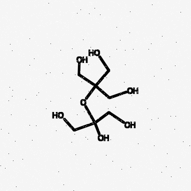 OCC(O)(CO)OC(CO)(CO)CO